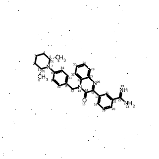 C[C@@H]1CCC[C@H](C)N1c1ccc(Cn2c(=O)c(-c3cccc(C(=N)N)c3)nc3ccccc32)cc1